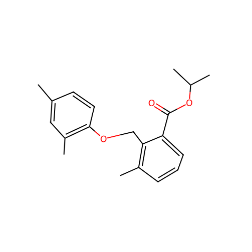 Cc1ccc(OCc2c(C)cccc2C(=O)OC(C)C)c(C)c1